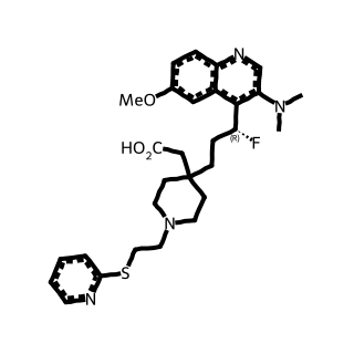 COc1ccc2ncc(N(C)C)c([C@H](F)CCC3(CC(=O)O)CCN(CCSc4ccccn4)CC3)c2c1